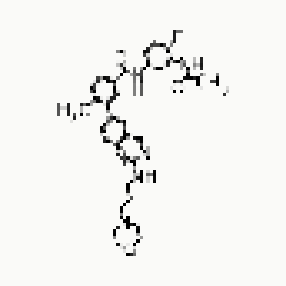 CC(=O)Nc1cc(NC(=O)c2ccc(C)c(-c3ccc4nc(NCCCN5CCOCC5)ncc4c3)c2)ccc1F